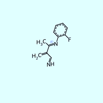 C=C(C=N)/C(C)=N/c1ccccc1F